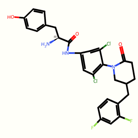 N[C@@H](Cc1ccc(O)cc1)C(=O)Nc1cc(Cl)c(N2CC(Cc3ccc(F)cc3F)CCC2=O)c(Cl)c1